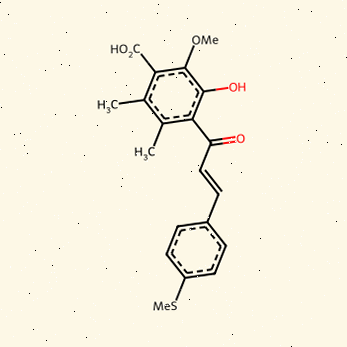 COc1c(O)c(C(=O)C=Cc2ccc(SC)cc2)c(C)c(C)c1C(=O)O